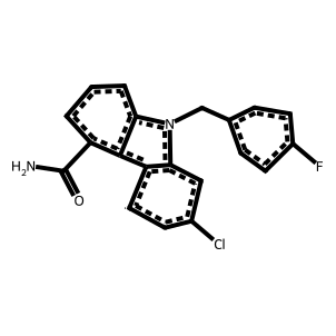 NC(=O)c1cccc2c1c1[c]cc(Cl)cc1n2Cc1ccc(F)cc1